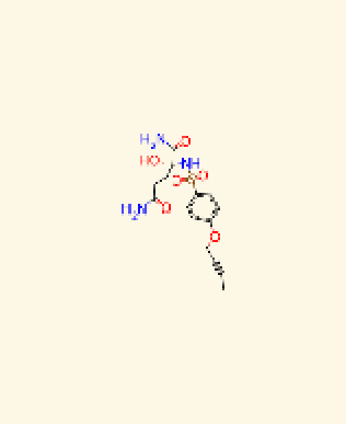 CC#CCOc1ccc(S(=O)(=O)N[C@@](O)(CCC(N)=O)C(N)=O)cc1